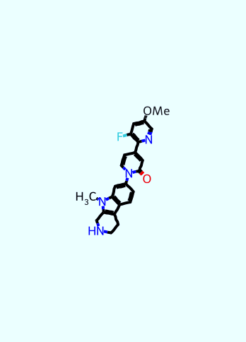 COc1cnc(-c2ccn(-c3ccc4c5c(n(C)c4c3)CNCC5)c(=O)c2)c(F)c1